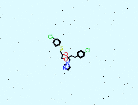 Clc1ccc(CCC2(Cn3ccnc3)OCC(CSc3ccc(Cl)cc3)O2)cc1